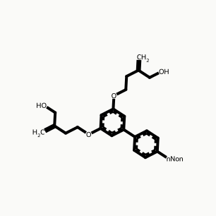 C=C(CO)CCOc1cc(OCCC(=C)CO)cc(-c2ccc(CCCCCCCCC)cc2)c1